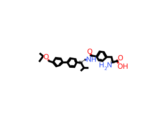 CC(C)OCc1ccc(-c2ccc([C@H](CNC(=O)c3ccc(C[C@H](N)C(=O)O)cc3)C(C)C)cc2)cc1